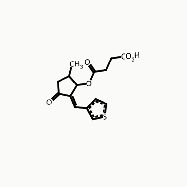 CC1CC(=O)C(=Cc2ccsc2)C1OC(=O)CCC(=O)O